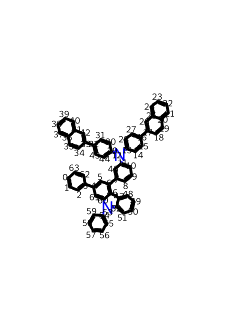 c1ccc(-c2cc(-c3cccc(N(c4ccc(-c5ccc6ccccc6c5)cc4)c4ccc(-c5ccc6ccccc6c5)cc4)c3)c3c4ccccc4n(-c4ccccc4)c3c2)cc1